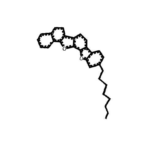 CCCCCCCCc1ccc2c(c1)oc1c2ccc2c3ccc4ccccc4c3oc21